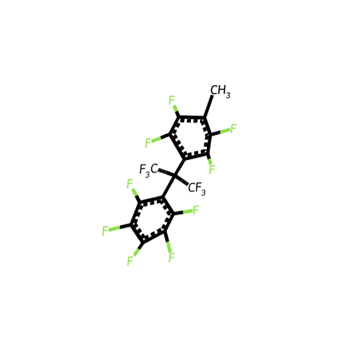 Cc1c(F)c(F)c(C(c2c(F)c(F)c(F)c(F)c2F)(C(F)(F)F)C(F)(F)F)c(F)c1F